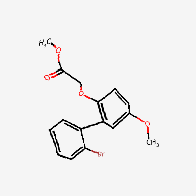 COC(=O)COc1ccc(OC)cc1-c1ccccc1Br